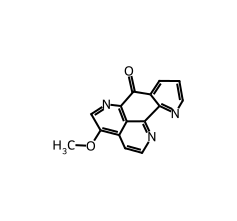 COc1cnc2c3c(nccc13)-c1ncccc1C2=O